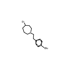 CCC1CCCN(CCc2ccc(C(C)(C)C)cc2)CC1